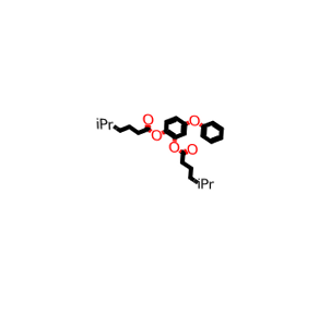 CC(C)CCCC(=O)Oc1ccc(Oc2ccccc2)cc1OC(=O)CCCC(C)C